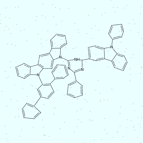 c1ccc(C2=NC(c3ccc4c(c3)c3ccccc3n4-c3ccccc3)NC(n3c4ccccc4c4cc5c6ccccc6n(-c6cc(-c7ccccc7)ccc6-c6ccccc6)c5cc43)=N2)cc1